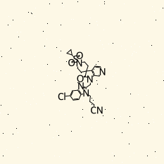 N#CCCCn1c(CN2C(=O)C3(CCN(S(=O)(=O)C4CC4)CC3)c3ccncc32)nc2cc(Cl)ccc21